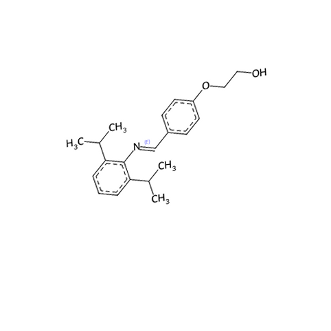 CC(C)c1cccc(C(C)C)c1/N=C/c1ccc(OCCO)cc1